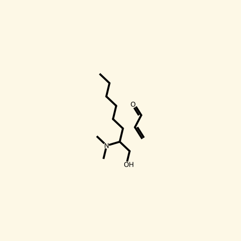 C=CC=O.CCCCCCC(CO)N(C)C